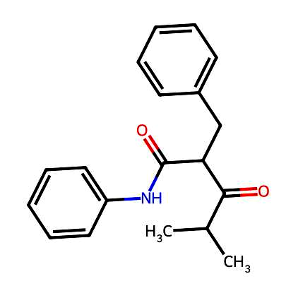 CC(C)C(=O)C(Cc1ccccc1)C(=O)Nc1ccccc1